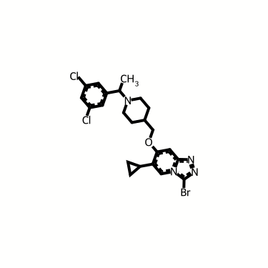 CC(c1cc(Cl)cc(Cl)c1)N1CCC(COc2cc3nnc(Br)n3cc2C2CC2)CC1